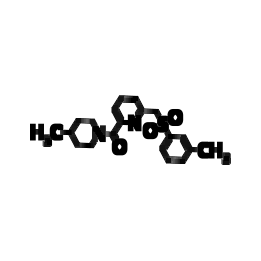 Cc1cccc(S(=O)(=O)Cc2cccc(C(=O)N3CCC(C)CC3)n2)c1